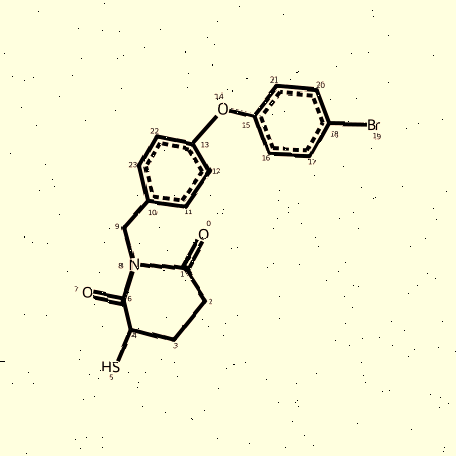 O=C1CCC(S)C(=O)N1Cc1ccc(Oc2ccc(Br)cc2)cc1